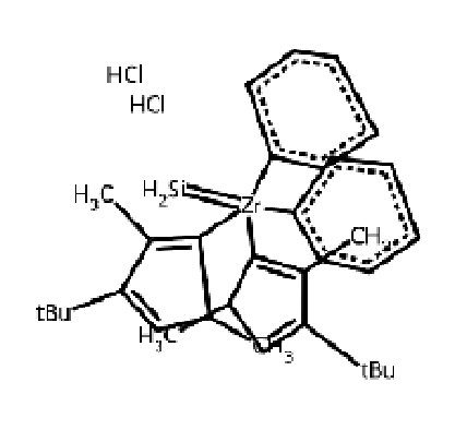 CC1=[C]([Zr](=[SiH2])([C]2=C(C)C(C(C)(C)C)=CC2C)([c]2ccccc2)[c]2ccccc2)C(C)C=C1C(C)(C)C.Cl.Cl